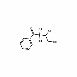 O=C(c1ccccc1)C(O)(Cl)C(O)CO